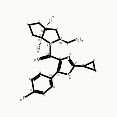 NC[C@@H]1C[C@@H]2CCC[C@@H]2N1C(=O)c1nc(C2CC2)sc1-c1ccc(F)cc1